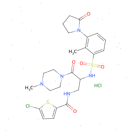 Cc1c(N2CCCC2=O)cccc1S(=O)(=O)NC(CNC(=O)c1ccc(Cl)s1)C(=O)N1CCN(C)CC1.Cl